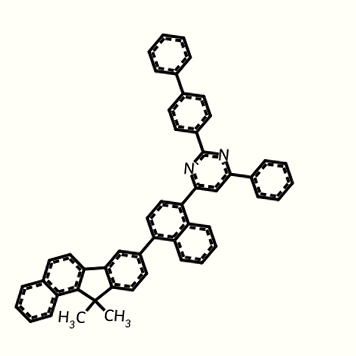 CC1(C)c2ccc(-c3ccc(-c4cc(-c5ccccc5)nc(-c5ccc(-c6ccccc6)cc5)n4)c4ccccc34)cc2-c2ccc3ccccc3c21